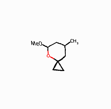 COC1CC(C)CC2(CC2)O1